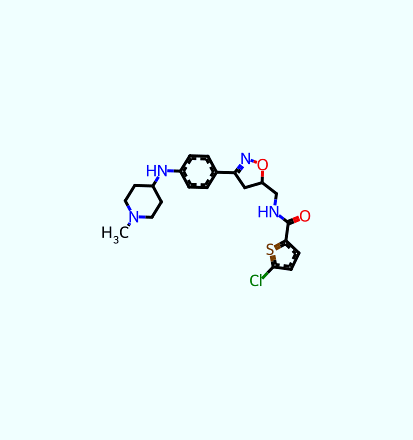 CN1CCC(Nc2ccc(C3=NOC(CNC(=O)c4ccc(Cl)s4)C3)cc2)CC1